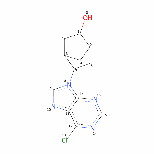 OC1CC2CC1CC2n1cnc2c(Cl)ncnc21